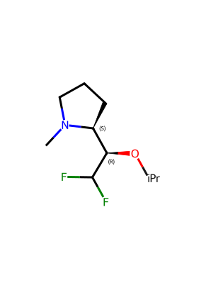 CC(C)O[C@@H](C(F)F)[C@@H]1CCCN1C